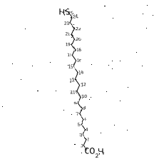 O=C(O)CCCCCCCCCCCCCCCCCCCCCCCCS